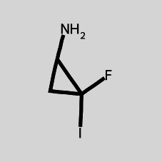 NC1CC1(F)I